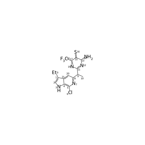 CCc1c[nH]c2c(Cl)nc(C(C)C3=NC(N)C(=S)C(C(F)(F)F)=N3)cc12